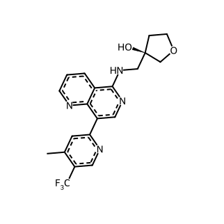 Cc1cc(-c2cnc(NC[C@]3(O)CCOC3)c3cccnc23)ncc1C(F)(F)F